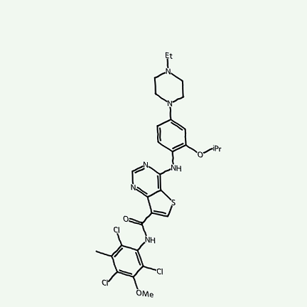 CCN1CCN(c2ccc(Nc3ncnc4c(C(=O)Nc5c(Cl)c(C)c(Cl)c(OC)c5Cl)csc34)c(OC(C)C)c2)CC1